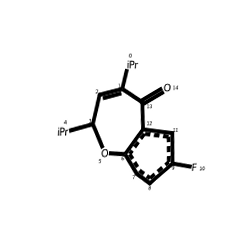 CC(C)C1=CC(C(C)C)Oc2ccc(F)cc2C1=O